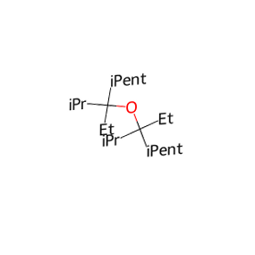 CCCC(C)C(CC)(OC(CC)(C(C)C)C(C)CCC)C(C)C